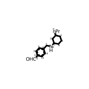 CCCC1CCCC(NCc2ccc(C=O)cc2)C1